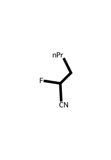 CCCCC(F)C#N